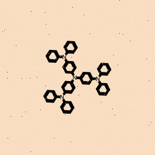 C1=CC(N(c2ccc(N(c3ccccc3)c3ccccc3)cc2)c2ccc(N(c3ccccc3)c3ccccc3)cc2)CC=C1N(c1ccccc1)c1ccccc1